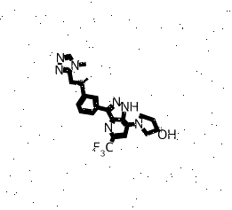 C[C@H](Cc1nncn1C)c1cccc(-c2n[nH]c3c(N4CC[C@H](O)C4)cc(C(F)(F)F)nc23)c1